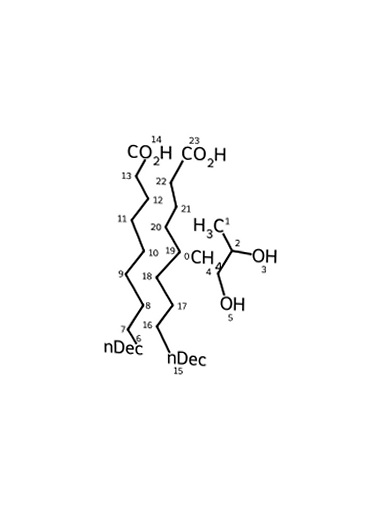 C.CC(O)CO.CCCCCCCCCCCCCCCCCC(=O)O.CCCCCCCCCCCCCCCCCC(=O)O